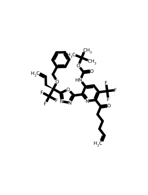 C=CCCCC(=O)c1nc(-c2nnc([C@@](CC=C)(OCc3ccccc3)C(F)(F)F)o2)c(NC(=O)OC(C)(C)C)cc1C(F)(F)F